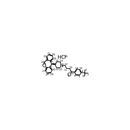 CC(C)(C)c1ccc(C(=O)CCCN2CCC(=C3c4ccccc4COc4ccccc43)CC2)cc1.Cl